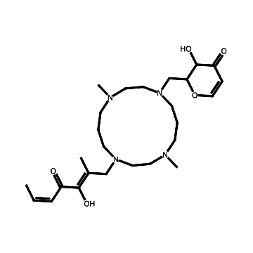 C/C=C\C(=O)/C(O)=C(\C)CN1CCCN(C)CCN(CC2OC=CC(=O)C2O)CCCN(C)CC1